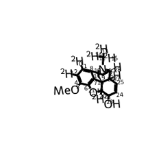 [2H]c1c([2H])c(OC)c2c3c1C[C@H]1N(C([2H])([2H])[2H])CC[C@@]34C([2H])(O2)C(O)C=C[C@@]14[2H]